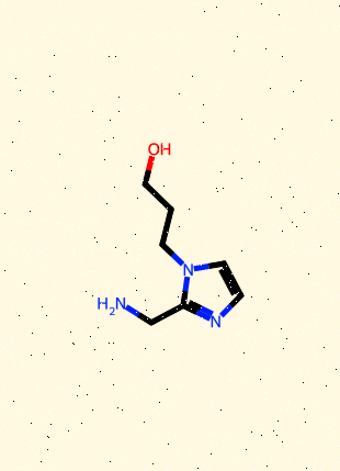 NCc1nccn1CCCO